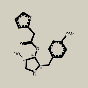 COc1ccc(C[C@H]2NC[C@H](O)[C@H]2OC(=O)Cc2cccs2)cc1